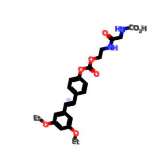 CCOc1cc(/C=C/c2ccc(OC(=O)OCCNC(=O)CNC(=O)O)cc2)cc(OCC)c1